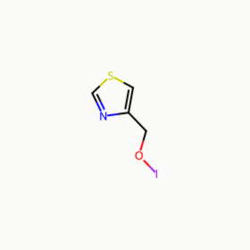 IOCc1cscn1